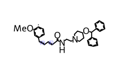 COc1[c]ccc(/C=C\C=C\C(=O)NCCN2CCC(OC(c3ccccc3)c3ccccc3)CC2)c1